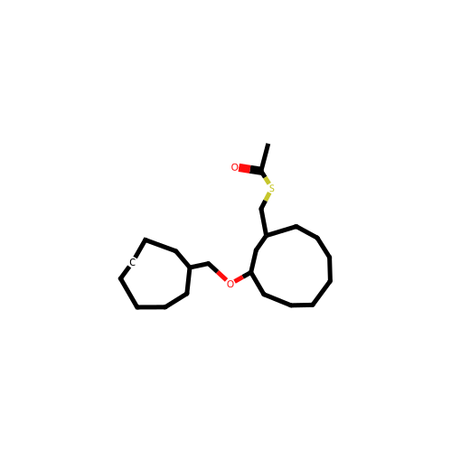 CC(=O)SCC1CCCCCCCC(OCC2CCCCCCC2)C1